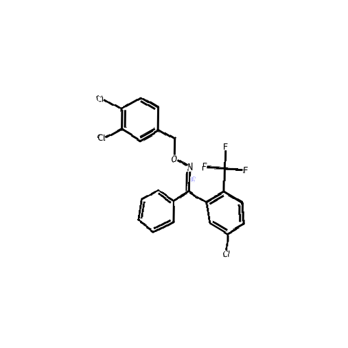 FC(F)(F)c1ccc(Cl)cc1/C(=N/OCc1ccc(Cl)c(Cl)c1)c1ccccc1